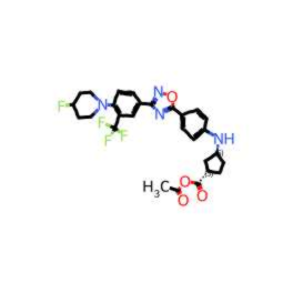 CC(=O)OC(=O)[C@H]1CC[C@H](Nc2ccc(-c3nc(-c4ccc(N5CCC(F)CC5)c(C(F)(F)F)c4)no3)cc2)C1